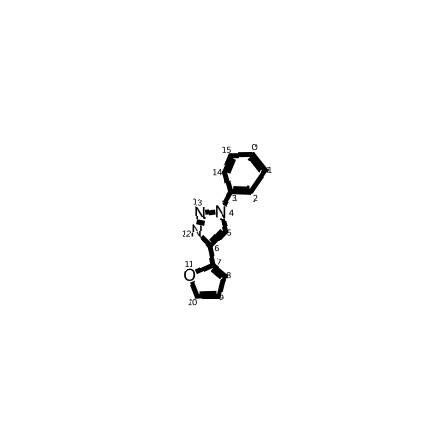 c1ccc(-n2cc(-c3ccco3)nn2)cc1